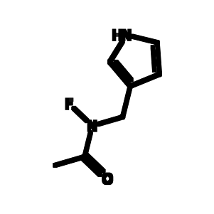 CC(=O)N(F)Cc1cc[nH]c1